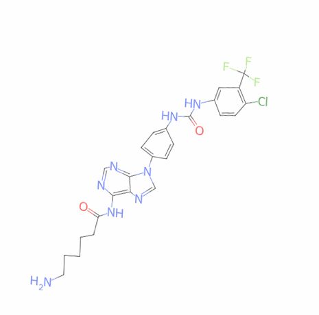 NCCCCCC(=O)Nc1ncnc2c1ncn2-c1ccc(NC(=O)Nc2ccc(Cl)c(C(F)(F)F)c2)cc1